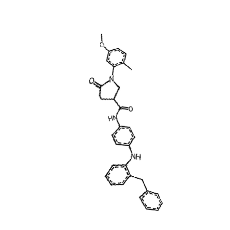 COc1ccc(C)c(N2CC(C(=O)Nc3ccc(Nc4ccccc4Cc4ccccc4)cc3)CC2=O)c1